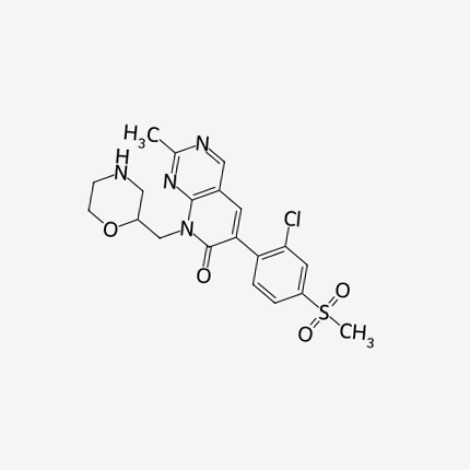 Cc1ncc2cc(-c3ccc(S(C)(=O)=O)cc3Cl)c(=O)n(CC3CNCCO3)c2n1